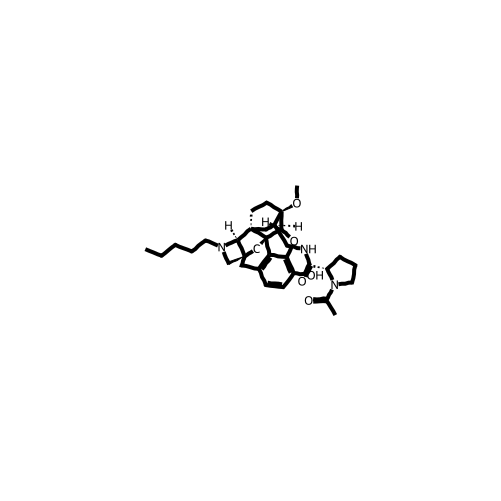 CCCCCN1C[C@]23Cc4ccc(O)c5c4[C@@]4(C2)[C@@H](O5)[C@@]2(OC)CC[C@@]4(C[C@@H]2CNC(=O)[C@@H]2CCCN2C(C)=O)[C@H]13